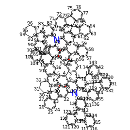 c1ccc(-c2ccccc2-c2cc3c(cc2N(c2ccc4c(c2)-c2ccccc2C42CCCC(c4ccc5c6ccc(N(c7cc8c(cc7-c7ccccc7-c7ccccc7)-c7ccccc7C87c8ccccc8-c8ccccc87)c7cccc8c7-c7ccccc7C87CCCCC7)cc6c6ccccc6c5c4)C2)c2ccc4c5ccccc5c5ccccc5c4c2)C2(c4ccccc4-c4ccccc42)c2ccccc2-3)cc1